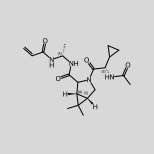 C=CC(=O)N[C@H](C)NC(=O)C1[C@@H]2[C@H](CN1C(=O)[C@@H](NC(C)=O)C1CC1)C2(C)C